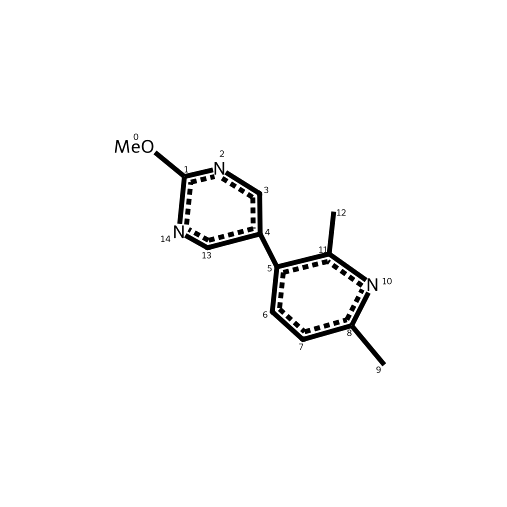 COc1ncc(-c2ccc(C)nc2C)cn1